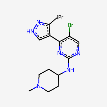 CC(C)c1n[nH]cc1-c1nc(NC2CCN(C)CC2)ncc1Br